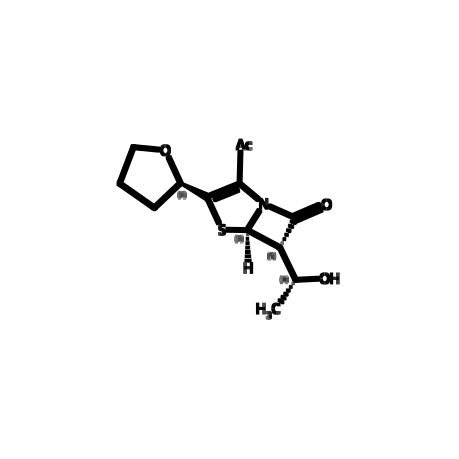 CC(=O)C1=C([C@H]2CCCO2)S[C@@H]2[C@@H]([C@@H](C)O)C(=O)N12